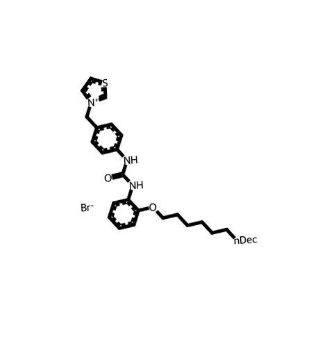 CCCCCCCCCCCCCCCCOc1ccccc1NC(=O)Nc1ccc(C[n+]2ccsc2)cc1.[Br-]